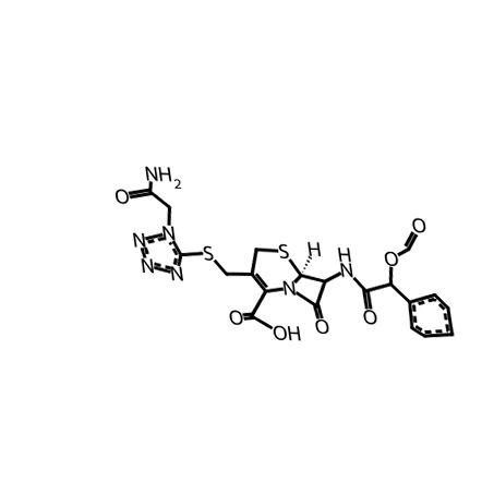 NC(=O)Cn1nnnc1SCC1=C(C(=O)O)N2C(=O)C(NC(=O)C(OC=O)c3ccccc3)[C@@H]2SC1